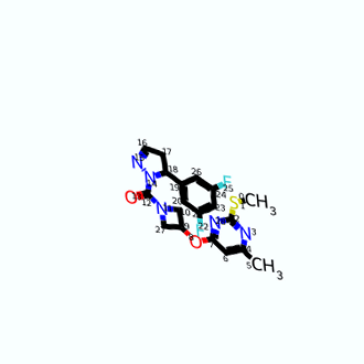 CSc1nc(C)cc(OC2CN(C(=O)N3N=CCC3c3cc(F)cc(F)c3)C2)n1